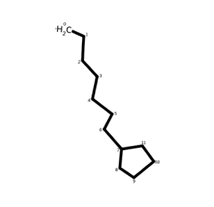 [CH2]CCCCCC[C]1CCCC1